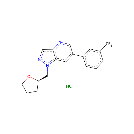 Cl.FC(F)(F)c1cccc(-c2cnc3cnn(C[C@H]4CCCO4)c3c2)c1